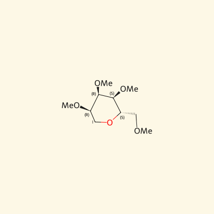 COC[C@@H]1O[C][C@@H](OC)[C@@H](OC)[C@H]1OC